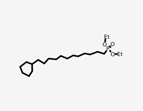 CCOP(=O)(CCCCCCCCCCCCC1CCCCC1)OCC